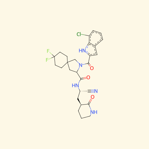 N#C[C@H](C[C@@H]1CCCNC1=O)NC(=O)C1CC2(CCC(F)(F)CC2)CN1C(=O)c1cc2cccc(Cl)c2[nH]1